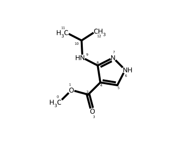 COC(=O)c1c[nH]nc1NC(C)C